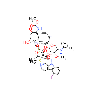 COC(=O)NC1=C2C#C/C=C\C#C[C@H](OC3OC(C)C(SC)(C(=O)c4nccc5c4[nH]c4cccc(I)c45)C(O)C3OC3CC(OC)C(NC(C)C)CO3)C2/C(=C\CSC(C)=O)[C@@H](O)CC1=O